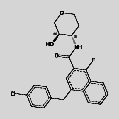 O=C(N[C@H]1CCOC[C@@H]1O)c1cc(Cc2ccc(Cl)cc2)c2ccccc2c1F